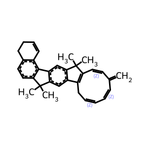 C=C1/C=C\C=C/CC2=C(/C=C\1)C(C)(C)c1cc3c(cc12)C(C)(C)c1ccc2c(c1-3)C=CCC2